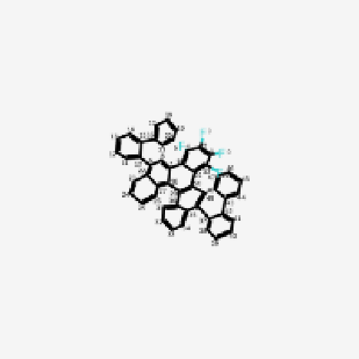 Fc1c(F)c(F)c2c3cc(-c4ccccc4-c4ccccc4)c4ccccc4c3c3c4ccccc4c(-c4ccccc4-c4ccccc4)cc3c2c1F